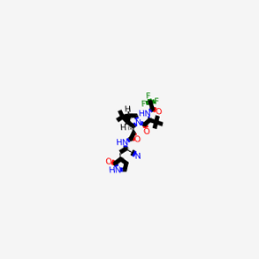 CC(C)(C)[C@H](NC(=O)C(F)(F)F)C(=O)N1C[C@H]2[C@@H]([C@H]1C1OC1N[C@H](C#N)C[C@@H]1CCNC1=O)C2(C)C